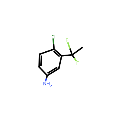 CC(F)(F)c1cc(N)ccc1Cl